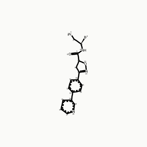 [B][C@H](CC(C)C)NC(=O)C1CC(c2ccc(-c3cccnc3)cc2)=NO1